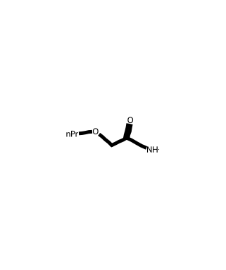 CCCOCC([NH])=O